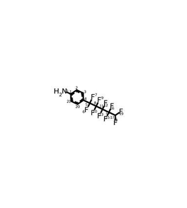 Nc1ccc(C(F)(F)C(F)(F)C(F)(F)C(F)(F)C(F)F)cc1